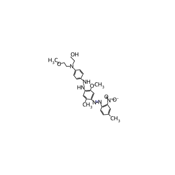 COCCN(CCO)c1ccc(NNc2cc(C)c(/N=N/c3ccc(C)cc3[N+](=O)[O-])cc2OC)cc1